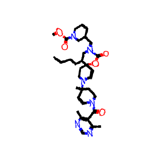 CCCCC1CN(CC2CCCN(C(=O)OC)C2)C(=O)OC12CCN(C1(C)CCN(C(=O)c3c(C)ncnc3C)CC1)CC2